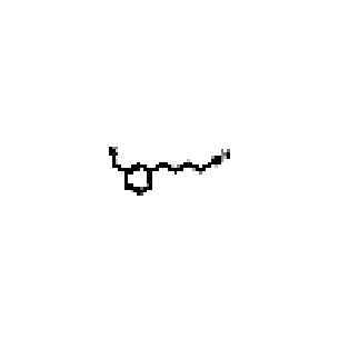 N#CCCCCc1cccc(CBr)c1